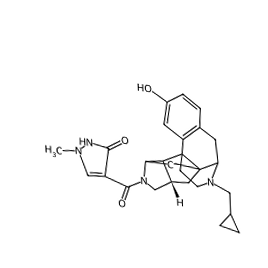 Cn1cc(C(=O)N2C[C@H]3CC45CCC2C3C42CCN(CC3CC3)C5Cc3ccc(O)cc32)c(=O)[nH]1